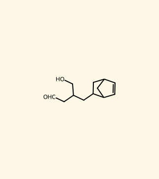 O=CCC(CO)CC1CC2C=CC1C2